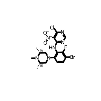 C[C@@H]1CN(c2ccc(Br)c(F)c2Nc2ncnc(Cl)c2[N+](=O)[O-])C[C@H](C)N1C